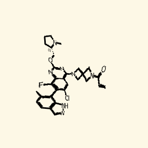 C=CC(=O)N1CC2(C1)CN(c1nc(OC[C@@H]3CCCN3C)nc3c(F)c(-c4c(C)ccc5cn[nH]c45)c(Cl)cc13)C2